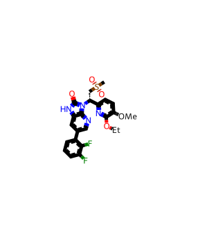 CCOc1nc([C@@H](CS(C)(=O)=O)n2c(=O)[nH]c3cc(-c4cccc(F)c4F)cnc32)ccc1OC